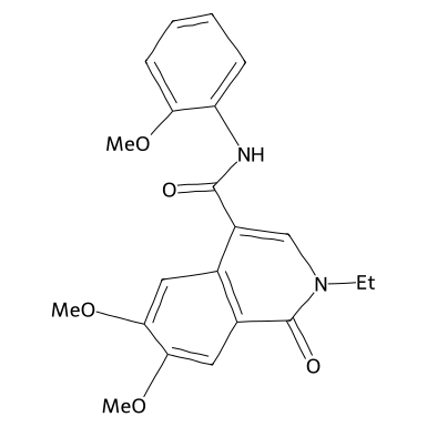 CCn1cc(C(=O)Nc2ccccc2OC)c2cc(OC)c(OC)cc2c1=O